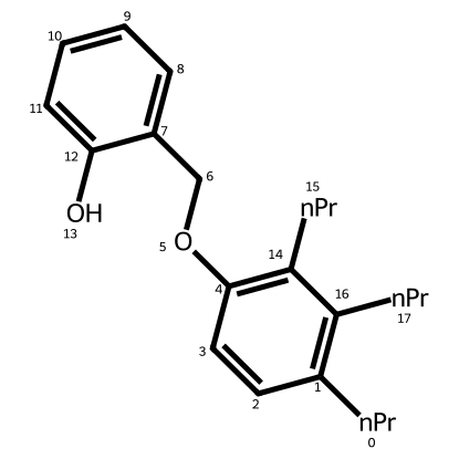 CCCc1ccc(OCc2ccccc2O)c(CCC)c1CCC